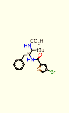 CC(C)(C)C(NC(=O)O)[C@H](Cc1ccccc1)NC(=O)c1cc(Br)cs1